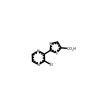 CCc1nccnc1-c1ncc(C(=O)O)s1